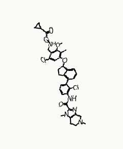 COc1c(C)c(OC2CCc3c(-c4cccc(NC(=O)c5nc6c(n5C)CCN(C)C6)c4Cl)cccc32)cc(Cl)c1CNOC(=O)C1CC1